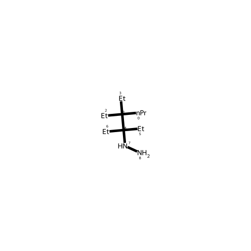 CCCC(CC)(CC)C(CC)(CC)NN